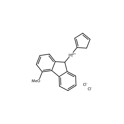 COc1cccc2c1-c1ccccc1[CH]2[Hf+2][C]1=CC=CC1.[Cl-].[Cl-]